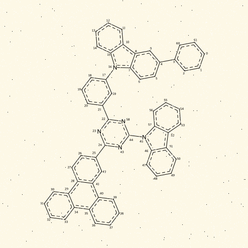 c1ccc(-c2ccc3c(c2)c2ccccc2n3-c2cccc(-c3nc(-c4ccc5c6ccccc6c6ccccc6c5c4)nc(-n4c5ccccc5c5ccccc54)n3)c2)cc1